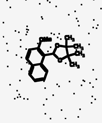 COc1ccc2ccccc2c1C1OC(C)(C)C(C)(C)O1